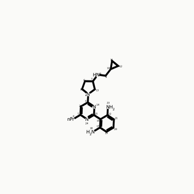 CCCc1cc(N2CCC(NCC3CC3)C2)nc(-c2c(N)cccc2N)n1